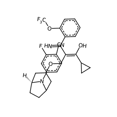 N#Cc1ccc(N2C3CC[C@H]2CC(OC/C(C(=N)c2ccccc2OC(F)(F)F)=C(/O)C2CC2)C3)cc1F